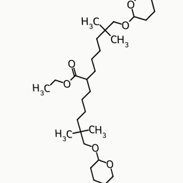 CCOC(=O)C(CCCCC(C)(C)COC1CCCCO1)CCCCC(C)(C)COC1CCCCO1